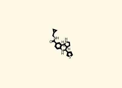 O=C(NCC1CC1)c1ccc2c(c1)[C@H]1NCC[C@H]1C(c1ccsc1)N2